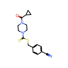 N#Cc1ccc(CSC(=S)N2CCN(C(=O)C3CC3)CC2)cc1